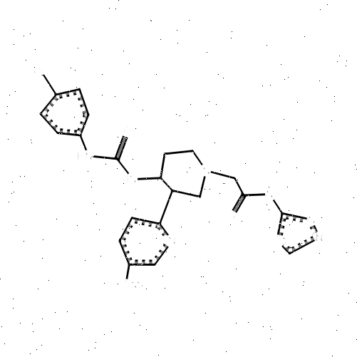 COc1ccc(C2CN(CC(=O)Nc3nnco3)CCC2NC(=O)Nc2ccc(Cl)cc2)nc1